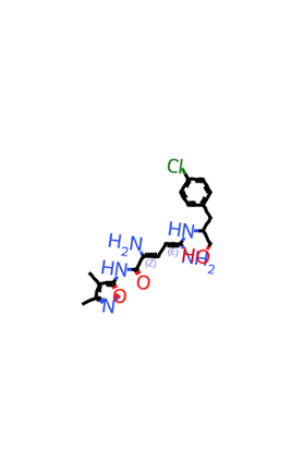 Cc1noc(NC(=O)/C(N)=C/C=C(\N)NC(CO)Cc2ccc(Cl)cc2)c1C